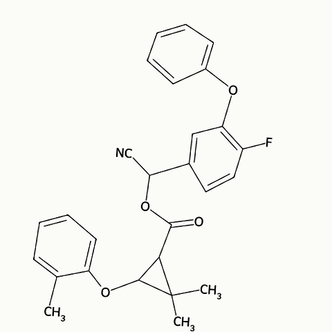 Cc1ccccc1OC1C(C(=O)OC(C#N)c2ccc(F)c(Oc3ccccc3)c2)C1(C)C